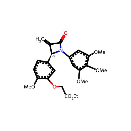 C=C1C(=O)N(c2cc(OC)c(OC)c(OC)c2)[C@H]1c1ccc(OC)c(OCC(=O)OCC)c1